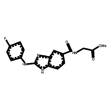 COC(=O)CNC(=O)c1ccc2[nH]c(Nc3ccc(F)cc3)nc2c1